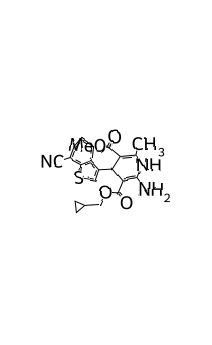 COC(=O)C1=C(C)NC(N)=C(C(=O)OCC2CC2)C1c1csc2c(C#N)cccc12